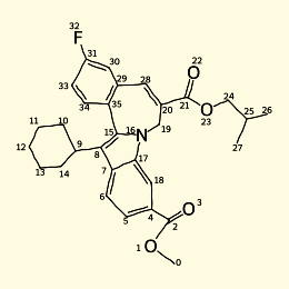 COC(=O)c1ccc2c(C3CCCCC3)c3n(c2c1)CC(C(=O)OCC(C)C)=Cc1cc(F)ccc1-3